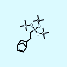 C[Si](C)(C)O[Si](CCC1CC2C=CC1C2)(O[Si](C)(C)C)O[Si](C)(C)C